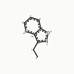 CCc1noc2cccnc12